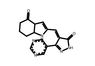 O=C1NN=C(c2cncnc2)/C1=C\C1=CC2C(=O)CCCC2N1